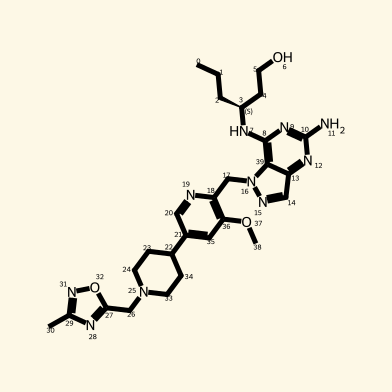 CCC[C@@H](CCO)Nc1nc(N)nc2cnn(Cc3ncc(C4CCN(Cc5nc(C)no5)CC4)cc3OC)c12